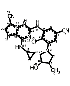 C[C@@H]1CN(c2cc(C#N)cc(Nc3nc(NC4CC4)c4ncc(C#N)n4n3)c2Cl)C[C@@H]1O